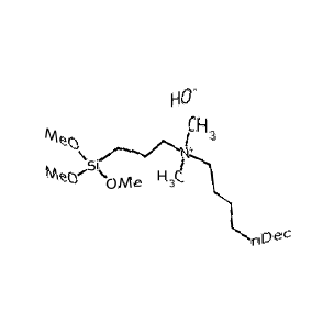 CCCCCCCCCCCCCC[N+](C)(C)CCC[Si](OC)(OC)OC.[OH-]